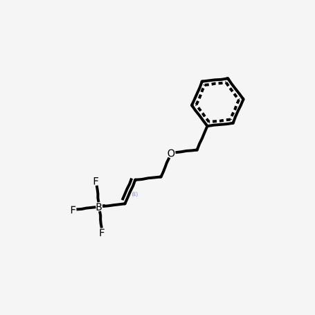 F[B-](F)(F)/C=C/COCc1ccccc1